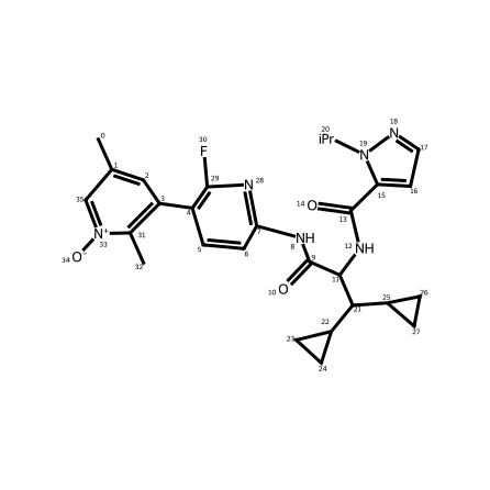 Cc1cc(-c2ccc(NC(=O)C(NC(=O)c3ccnn3C(C)C)C(C3CC3)C3CC3)nc2F)c(C)[n+]([O-])c1